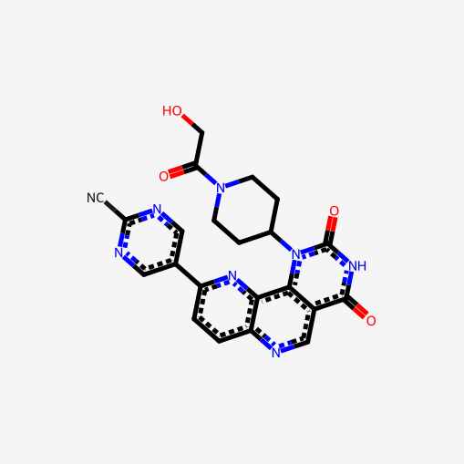 N#Cc1ncc(-c2ccc3ncc4c(=O)[nH]c(=O)n(C5CCN(C(=O)CO)CC5)c4c3n2)cn1